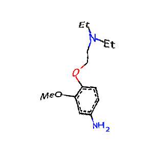 CCN(CC)CCOc1ccc(N)cc1OC